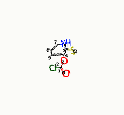 O=C(Cl)Oc1ccc[nH]c1=S